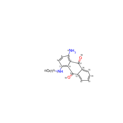 CCCCCCCCNc1ccc(N)c2c1C(=O)c1ccccc1C2=O